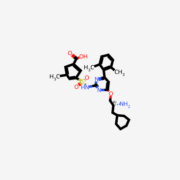 Cc1cc(C(=O)O)cc(S(=O)(=O)Nc2nc(OC[C@H](N)CC3CCCCC3)cc(-c3c(C)cccc3C)n2)c1